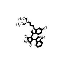 CCN(CC)CCCn1cc(C2=C(c3c[nH]c4ccccc34)C(=O)NC2=O)c2ccc(Cl)cc21